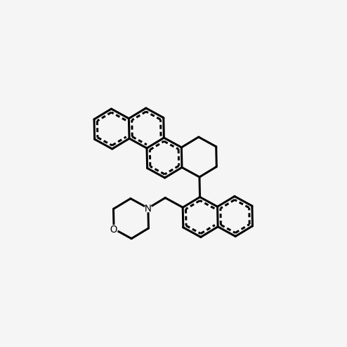 c1ccc2c(C3CCCc4c3ccc3c4ccc4ccccc43)c(CN3CCOCC3)ccc2c1